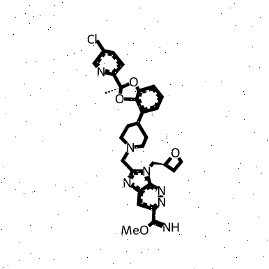 COC(=N)c1cc2nc(CN3CCC(c4cccc5c4O[C@@](C)(c4ccc(Cl)cn4)O5)CC3)n(C[C@@H]3CCO3)c2nn1